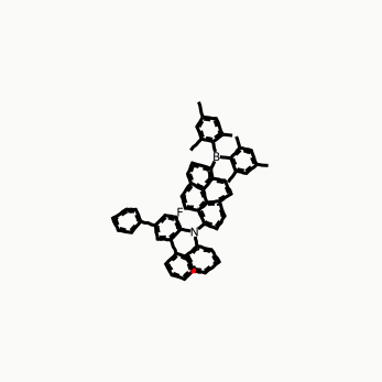 Cc1cc(C)c(B(c2c(C)cc(C)cc2C)c2ccc3ccc4c(N(c5ccccc5)c5c(F)cc(-c6ccccc6)cc5-c5ccccc5)ccc5ccc2c3c54)c(C)c1